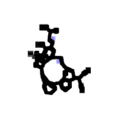 COC12OOC13C1CC4CC3CC(C1)C4c1cccc3c1OC(=CC3=C(C#N)C#N)/C=C/c1cc(/C=C/C(=O)O)c(O)cc12